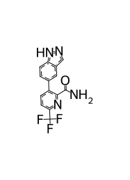 NC(=O)c1nc(C(F)(F)F)ccc1-c1ccc2[nH]ncc2c1